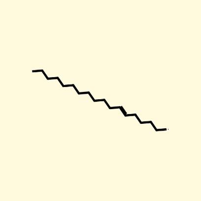 [CH2]CCCCC=CCCCCCCCCCCC